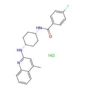 Cc1cc(N[C@H]2CC[C@@H](NC(=O)c3ccc(F)cc3)CC2)nc2ccccc12.Cl